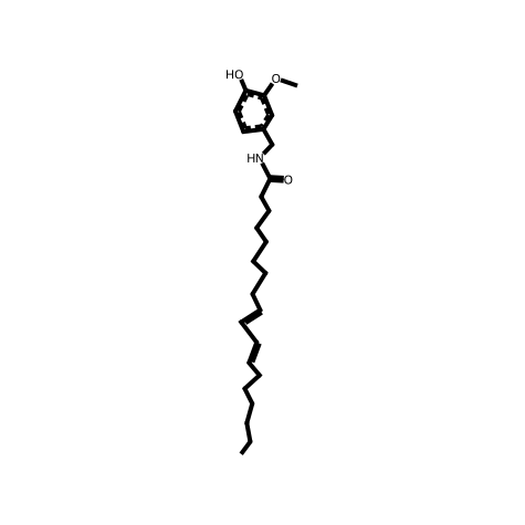 CCCCCCC=CC=CCCCCCCCC(=O)NCc1ccc(O)c(OC)c1